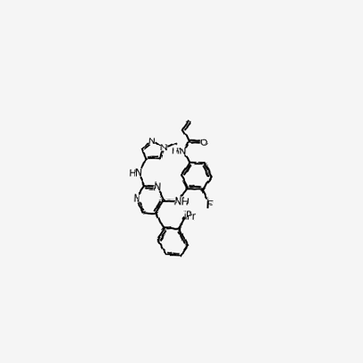 C=CC(=O)Nc1ccc(F)c(Nc2nc(Nc3cnn(C)c3)ncc2-c2ccccc2C(C)C)c1